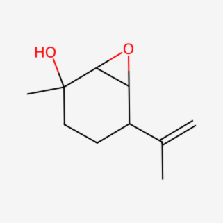 C=C(C)C1CCC(C)(O)C2OC12